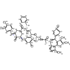 Cc1sc2c(c1C)C(c1ccc(Cl)cc1)=N[C@@H](CC(=O)NCCOCCN[C@@H](Cc1ccccc1)C(=O)N1C/C(=C\c3ccc(Cl)c(Cl)c3)C(=O)/C(=C/c3ccc(Cl)c(Cl)c3)C1)c1nnc(C)n1-2